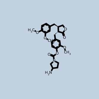 COc1ccc(C[C@H]2COC(=O)[C@@H]2Cc2ccc(OC(=O)N3CCC(N)C3)c(OC)c2)cc1OC